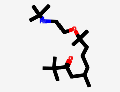 CC(CCCC(C)(C)OCCNC(C)(C)C)CC(=O)C(C)(C)C